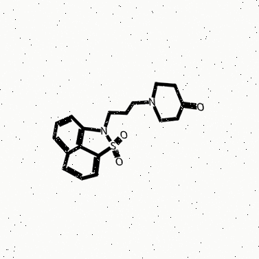 O=C1CCN(CCCN2c3cccc4cccc(c34)S2(=O)=O)CC1